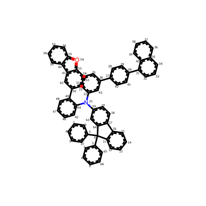 c1ccc(C2(c3ccccc3)c3ccccc3-c3ccc(N(c4cccc(-c5ccc(-c6cccc7ccccc67)cc5)c4)c4ccccc4-c4ccc5oc6ccccc6c5c4)cc32)cc1